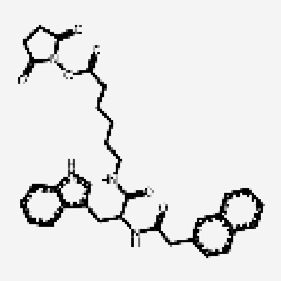 O=C(Cc1ccc2ccccc2c1)NC(Cc1c[nH]c2ccccc12)C(=O)NCCCCCC(=O)ON1C(=O)CCC1=O